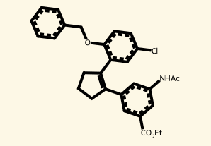 CCOC(=O)c1cc(NC(C)=O)cc(C2=C(c3cc(Cl)ccc3OCc3ccccc3)CCC2)c1